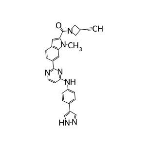 C#CC1CN(C(=O)c2cc3ccc(-c4nccc(Nc5ccc(-c6cn[nH]c6)cc5)n4)cc3n2C)C1